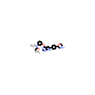 C=CC(=O)N(C)c1cccc(Oc2ncnc3[nH]c(-c4ccc(C5CNCCO5)cc4)cc23)c1